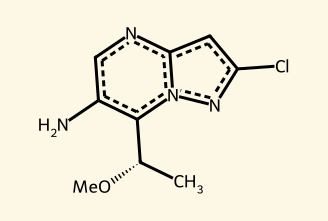 CO[C@@H](C)c1c(N)cnc2cc(Cl)nn12